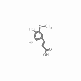 COc1cc(/C=C/C(=O)O)ccc1O.F